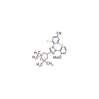 COc1ccccc1-c1nc(C2CC(C)(C)OC(C)(C)C2)cn1-c1c(F)cc(C#N)cc1F